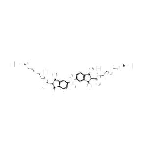 COCCOCCNC(=O)C1C(=O)c2ccc(S(=O)(=O)c3ccc4c(c3)C(=O)C(C(=O)NCCOCCOC)C4=O)cc2C1=O